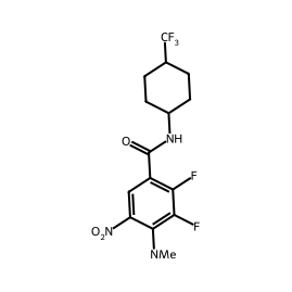 CNc1c([N+](=O)[O-])cc(C(=O)NC2CCC(C(F)(F)F)CC2)c(F)c1F